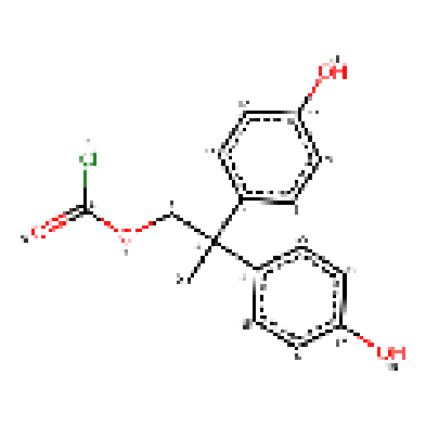 CC(COC(=O)Cl)(c1ccc(O)cc1)c1ccc(O)cc1